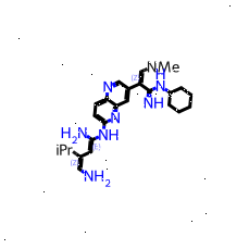 CN/C=C(\C(=N)NC1CCCCC1)c1cnc2ccc(N/C(N)=C/C(=C\N)C(C)C)nc2c1